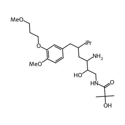 COCCCOc1cc(CC(CC(N)C(O)CNC(=O)C(C)(C)O)C(C)C)ccc1OC